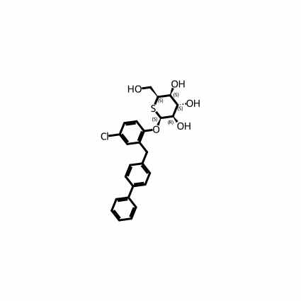 OC[C@@H]1S[C@H](Oc2ccc(Cl)cc2Cc2ccc(-c3ccccc3)cc2)[C@H](O)[C@@H](O)[C@@H]1O